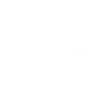 Nc1ccc2c(c1)CCOCC2